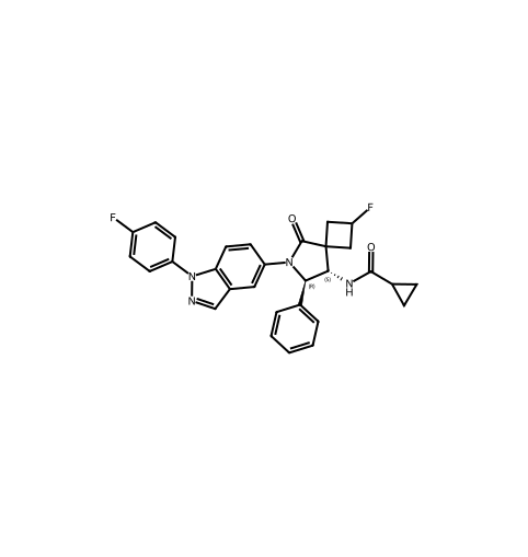 O=C(N[C@@H]1[C@@H](c2ccccc2)N(c2ccc3c(cnn3-c3ccc(F)cc3)c2)C(=O)C12CC(F)C2)C1CC1